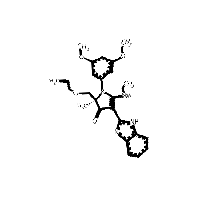 CCOC[C@]1(C)C(=O)C(c2nc3ccccc3[nH]2)=C(NC)N1c1cc(OC)cc(OC)c1